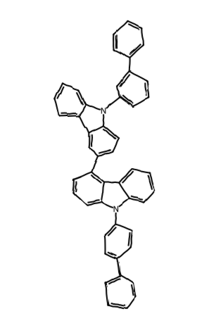 c1ccc(-c2ccc(-n3c4ccccc4c4c(-c5ccc6c(c5)c5ccccc5n6-c5cccc(-c6ccccc6)c5)cccc43)cc2)cc1